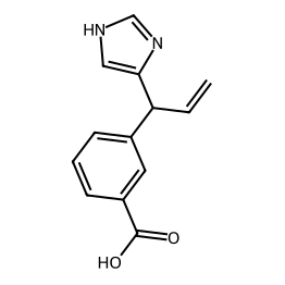 C=CC(c1cccc(C(=O)O)c1)c1c[nH]cn1